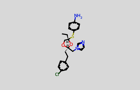 CC[C@]1(Sc2ccc(N)cc2)CO[C@](CCc2ccc(Cl)cc2)(Cn2ccnc2)O1